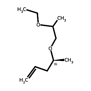 C=CC[C@H](C)OCC(C)OCC